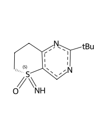 CC(C)(C)c1ncc2c(n1)CCC[S@]2(=N)=O